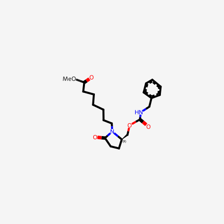 COC(=O)CCCCCCN1C(=O)CC[C@@H]1COC(=O)NCc1ccccc1